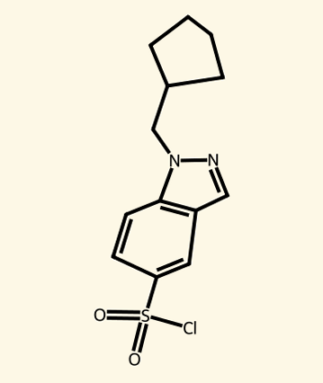 O=S(=O)(Cl)c1ccc2c(cnn2CC2CCCC2)c1